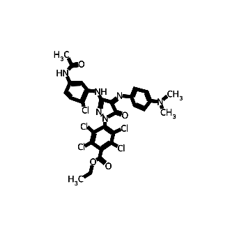 CCOC(=O)c1c(Cl)c(Cl)c(N2N=C(Nc3cc(NC(C)=O)ccc3Cl)/C(=N/c3ccc(N(C)C)cc3)C2=O)c(Cl)c1Cl